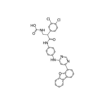 O=C(O)NCC(C(=O)Nc1ccc(Nc2cc(-c3cccc4c3oc3ccccc34)ncn2)cc1)c1ccc(Cl)c(Cl)c1